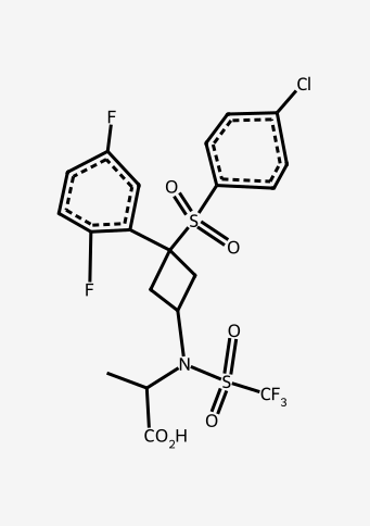 CC(C(=O)O)N(C1CC(c2cc(F)ccc2F)(S(=O)(=O)c2ccc(Cl)cc2)C1)S(=O)(=O)C(F)(F)F